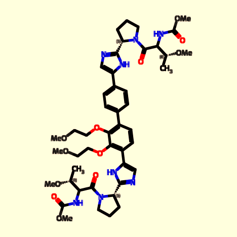 COCCOc1c(-c2ccc(-c3cnc([C@@H]4CCCN4C(=O)C(NC(=O)OC)[C@@H](C)OC)[nH]3)cc2)ccc(-c2cnc([C@@H]3CCCN3C(=O)C(NC(=O)OC)[C@@H](C)OC)[nH]2)c1OCCOC